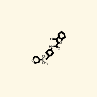 C[N+](C)(Cc1ccc(NC(=O)c2sc3ccccc3c2Cl)cc1)C1CCOCC1